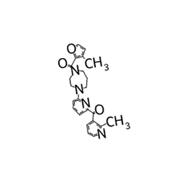 Cc1ccoc1C(=O)N1CCCN(c2cccc(C(=O)c3cccnc3C)n2)CC1